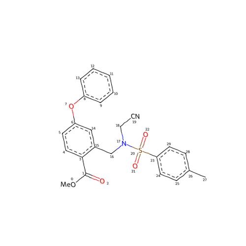 COC(=O)c1ccc(Oc2ccccc2)cc1CN(CC#N)S(=O)(=O)c1ccc(C)cc1